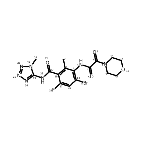 Cc1c(NC(=O)C(=O)N2CCOCC2)c(Br)cc(F)c1C(=O)Nc1nnnn1C